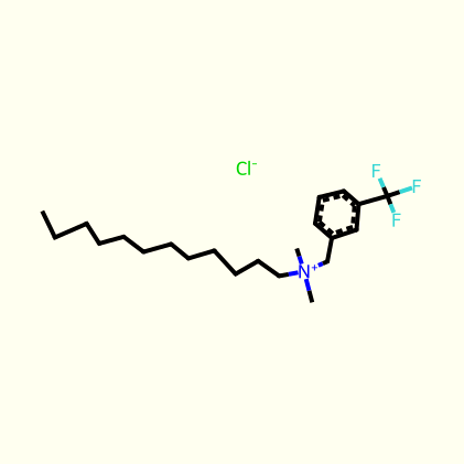 CCCCCCCCCCCC[N+](C)(C)Cc1cccc(C(F)(F)F)c1.[Cl-]